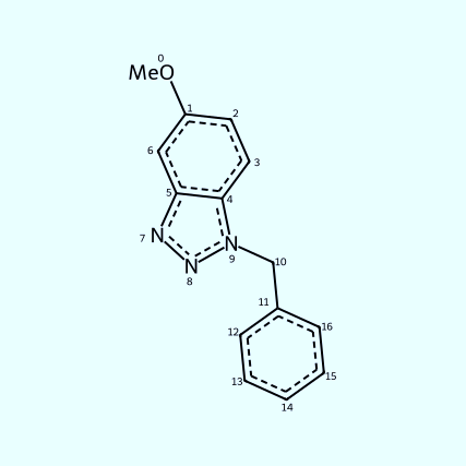 COc1ccc2c(c1)nnn2Cc1ccccc1